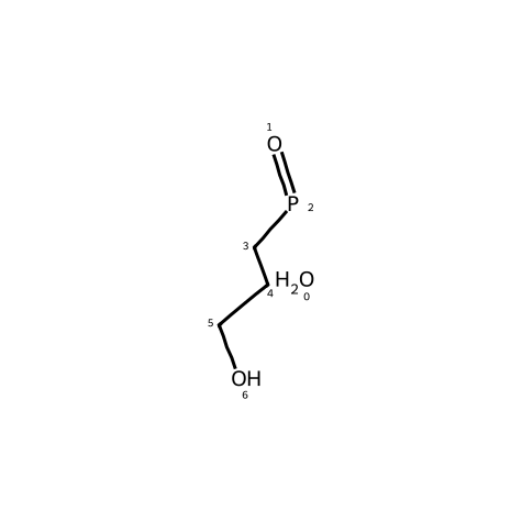 O.O=PCCCO